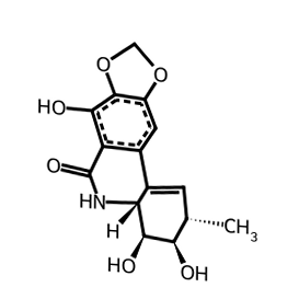 C[C@H]1C=C2c3cc4c(c(O)c3C(=O)N[C@H]2[C@H](O)[C@@H]1O)OCO4